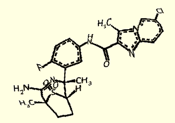 Cc1c(C(=O)Nc2ccc(F)c([C@@]3(C)N=C(N)[C@@]4(C)CC[C@@H]3S4(=O)=O)c2)nc2ccc(Cl)cn12